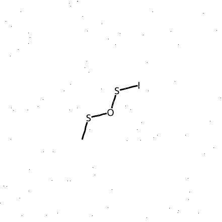 CSOSI